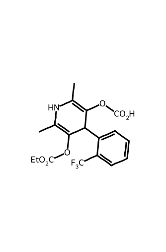 CCOC(=O)OC1=C(C)NC(C)=C(OC(=O)O)C1c1ccccc1C(F)(F)F